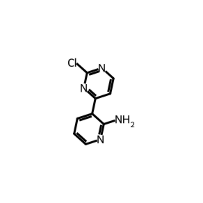 Nc1ncccc1-c1ccnc(Cl)n1